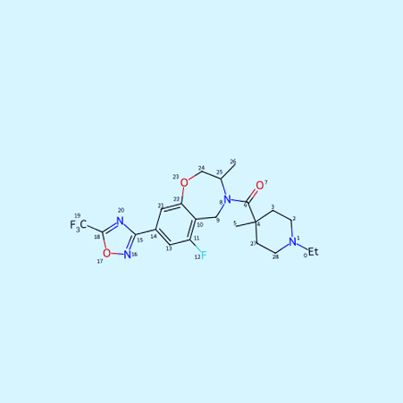 CCN1CCC(C)(C(=O)N2Cc3c(F)cc(-c4noc(C(F)(F)F)n4)cc3OCC2C)CC1